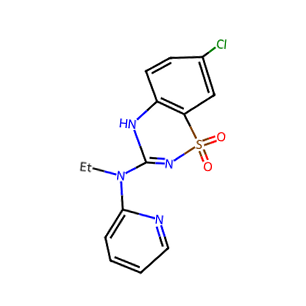 CCN(C1=NS(=O)(=O)c2cc(Cl)ccc2N1)c1ccccn1